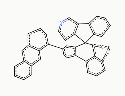 c1ccc2c(c1)-c1cnccc1C21c2cc(-c3cccc4cc5ccccc5cc34)ccc2-c2cccc3cccc1c23